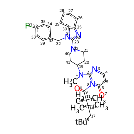 CN(c1nccc(=O)n1C(=O)C(C)(C)C(C)(C)CC(C)(C)C)C1CCN(c2nc3ccccc3n2Cc2ccc(F)cc2)CC1